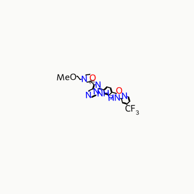 COCCN1CCO[C@@H](C2=C3C=NC=C[N+]3(N)C(c3ccc(C(=O)Nc4cc(C(F)(F)F)ccn4)cc3)=N2)C1